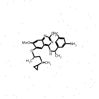 COc1cc2nc(C)nc(N[C@H](C)c3cc(N)cc(C(F)(F)F)c3)c2cc1O[C@H](C)CN(C)C1CC1